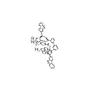 CC(C)(C)c1cc(-c2cccc(-c3cccc(-c4cc(-c5ccc6c(c5)sc5ccccc56)cc(C(C)(C)C)c4)c3)c2)cc(-c2ccc3c(c2)sc2ccccc23)c1